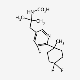 CC(C)(Cc1cnc(C2(C)CCC(F)(F)CC2)c(F)c1)NC(=O)O